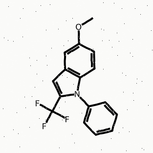 COc1ccc2c(c1)cc(C(F)(F)F)n2-c1ccccc1